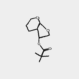 CC(C)(C)C(=O)OC1COC2OCCCC12